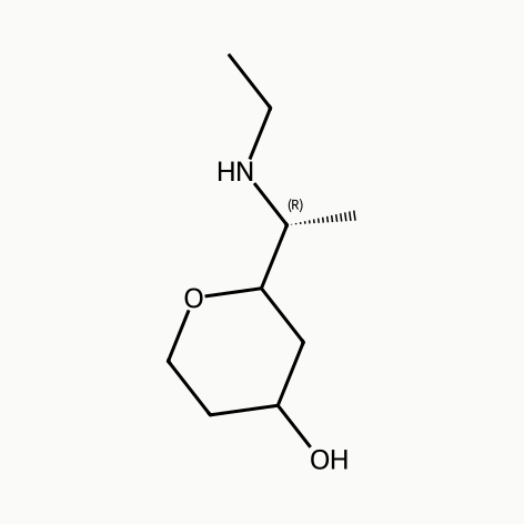 CCN[C@H](C)C1CC(O)CCO1